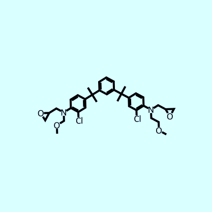 COCCN(CC1CO1)c1ccc(C(C)(C)c2cccc(C(C)(C)c3ccc(N(COC)CC4CO4)c(Cl)c3)c2)cc1Cl